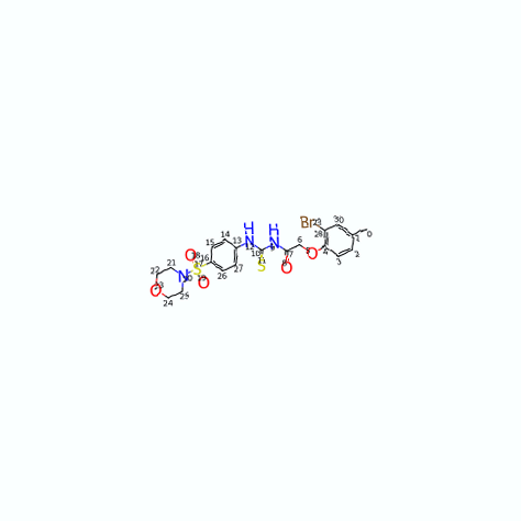 Cc1ccc(OCC(=O)NC(=S)Nc2ccc(S(=O)(=O)N3CCOCC3)cc2)c(Br)c1